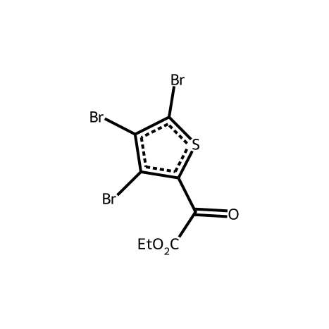 CCOC(=O)C(=O)c1sc(Br)c(Br)c1Br